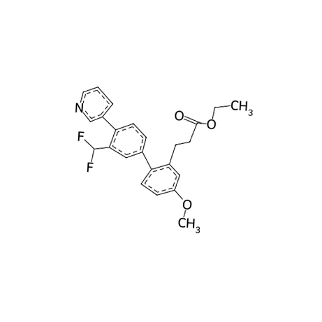 CCOC(=O)CCc1cc(OC)ccc1-c1ccc(-c2cccnc2)c(C(F)F)c1